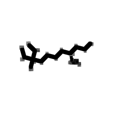 CCC[C@H](N)CCCCC(C)(CC)CC